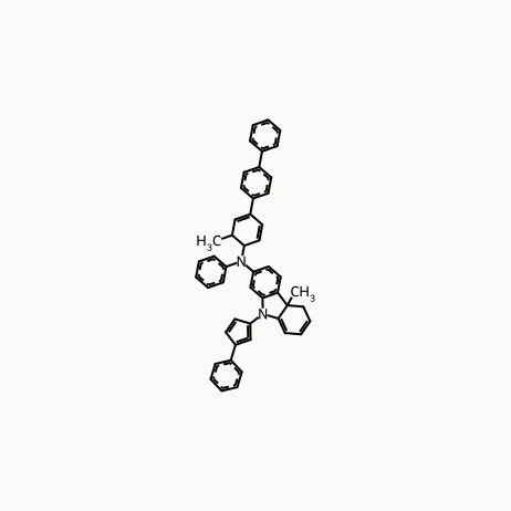 CC1C=C(c2ccc(-c3ccccc3)cc2)C=CC1N(c1ccccc1)c1ccc2c(c1)N(C1=C=C(c3ccccc3)C=C1)C1=CC=CCC12C